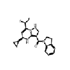 O=C(C1=C2NC(=C3CC3)C=C(C(F)F)N2NC1)N1CCc2ccccc21